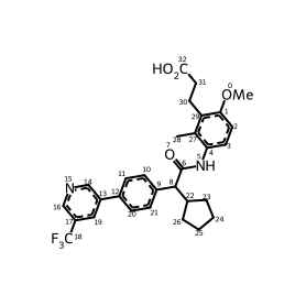 COc1ccc(NC(=O)C(c2ccc(-c3cncc(C(F)(F)F)c3)cc2)C2CCCC2)c(C)c1CCC(=O)O